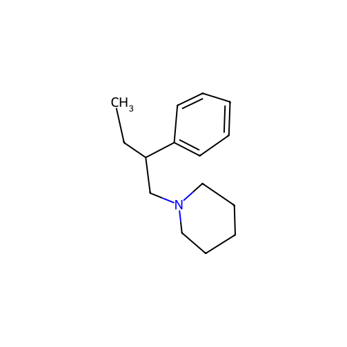 CCC(CN1CCCCC1)c1ccccc1